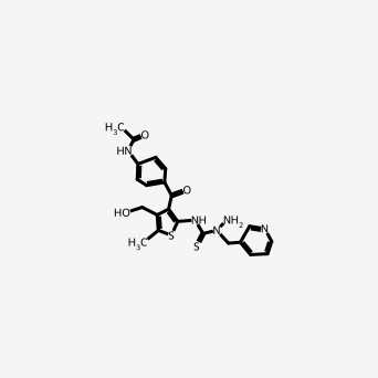 CC(=O)Nc1ccc(C(=O)c2c(NC(=S)N(N)Cc3cccnc3)sc(C)c2CO)cc1